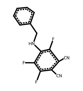 N#Cc1c(F)c(F)c(NCc2ccccc2)c(F)c1C#N